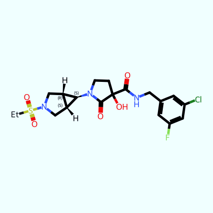 CCS(=O)(=O)N1C[C@@H]2[C@H](C1)[C@H]2N1CCC(O)(C(=O)NCc2cc(F)cc(Cl)c2)C1=O